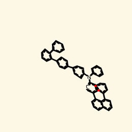 c1ccc(-c2ccccc2-c2ccc(-c3ccc(N(c4ccccc4)c4ccc(-c5cccc6cccc(-c7ccccc7)c56)cc4)cc3)cc2)cc1